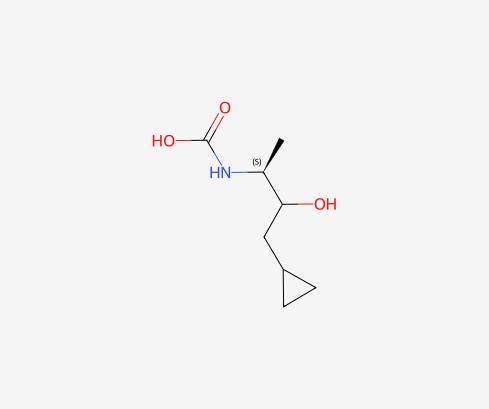 C[C@H](NC(=O)O)C(O)CC1CC1